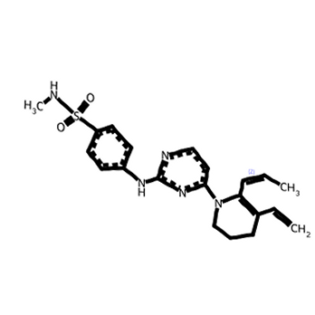 C=CC1=C(/C=C\C)N(c2ccnc(Nc3ccc(S(=O)(=O)NC)cc3)n2)CCC1